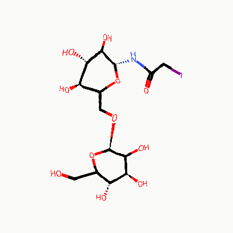 O=C(CI)N[C@@H]1OC(CO[C@@H]2OC(CO)[C@@H](O)[C@H](O)C2O)[C@@H](O)[C@H](O)C1O